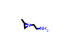 CC1CN1CCN